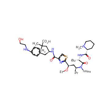 CCCCCCN(C(=O)[C@@H](NC(=O)[C@H]1CCCCN1C)[C@@H](C)CC)[C@H](C[C@@H](OCC)c1nc(C(=O)N[C@@H](Cc2ccc(NCCO)cc2)CC(C)(C)C(=O)O)cs1)C(C)C